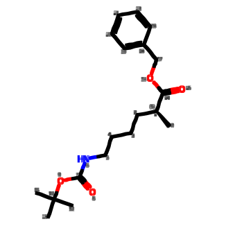 C[C@@H](CCCCNC(=O)OC(C)(C)C)C(=O)OCc1ccccc1